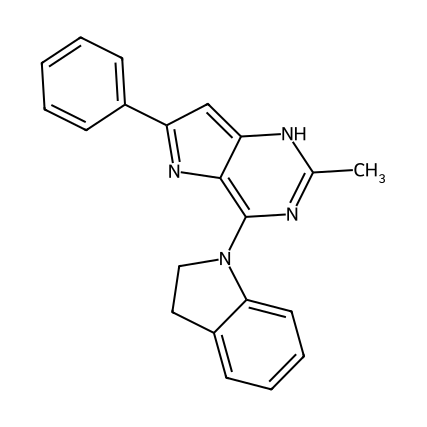 Cc1nc(N2CCc3ccccc32)c2nc(-c3ccccc3)cc-2[nH]1